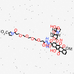 COc1cccc2c1C(=O)c1c(O)c3c(c(O)c1C2=O)C[C@@](O)(C(=O)NNC(=O)CCOCCOCCOCCOCCC(=O)N1CCC(C(=O)O)C1)C[C@@H]3O[C@H]1C[C@H]2[C@H](O[C@@H]3[C@@H](O)OCCN32)[C@H](C)O1